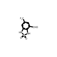 O=Cc1cc(C(F)(F)F)cc2c1NS(=O)(=O)N2